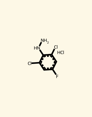 Cl.NNc1c(Cl)cc(F)cc1Cl